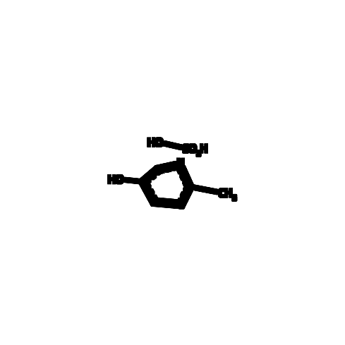 Cc1ccc(O)cn1.O=S(=O)(O)O